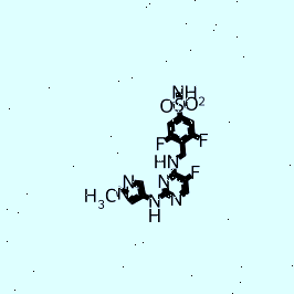 Cn1cc(Nc2ncc(F)c(NCc3c(F)cc(S(N)(=O)=O)cc3F)n2)cn1